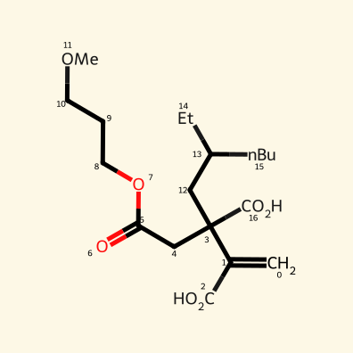 C=C(C(=O)O)C(CC(=O)OCCCOC)(CC(CC)CCCC)C(=O)O